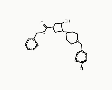 O=C(OCc1ccccc1)N1CC(O)C(N2CCN(Cc3ccc(Cl)cc3)CC2)C1